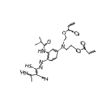 C=CC(=O)OCCN(CCOC(=O)C=C)c1ccc(/N=N/C(S)=C(\C#N)C(C)=N)c(NC(=O)C(C)C)c1